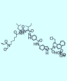 C=CC(=O)N(C=O)CCCCCC(=O)N[C@@H](CC(C)C)C(=O)N[C@H](C(=O)Nc1ccc(C(=O)Nc2ccc3[nH]c(C(=O)N4C[C@@H](CCl)c5c4cc(OP(=O)(O)O)c4ccccc54)cc3c2)cc1)C(C)CC